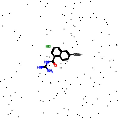 COc1ccc2c(C(=O)NC(=N)N)cccc2c1.Cl